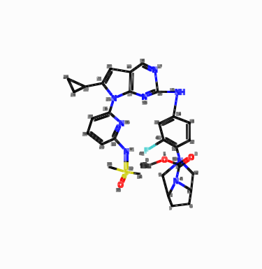 CC(C)(C)OC(=O)N1C2CCC1CN(c1ccc(Nc3ncc4cc(C5CC5)n(-c5cccc(N=S(C)(C)=O)n5)c4n3)cc1F)C2